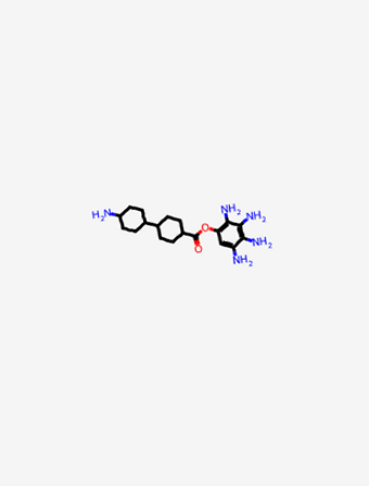 Nc1cc(OC(=O)C2CCC(C3CCC(N)CC3)CC2)c(N)c(N)c1N